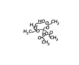 C=CC(=O)OCC(COC(=O)C=C)(COC(=O)C=C)COC(=O)C=C.CCCO